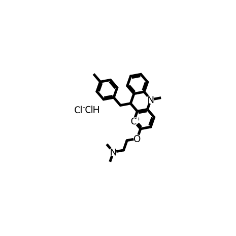 Cc1ccc(CC2C3=C(C=CC(OCCN(C)C)=[C+]3)N(C)c3ccccc32)cc1.Cl.[Cl-]